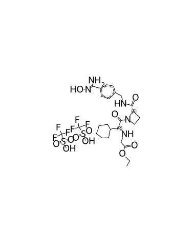 CCOC(=O)CN[C@@H](C(=O)N1CC[C@H]1C(=O)NCc1ccc(C(N)=NO)cc1)C1CCCCC1.O=S(=O)(O)C(F)(F)F.O=S(=O)(O)C(F)(F)F